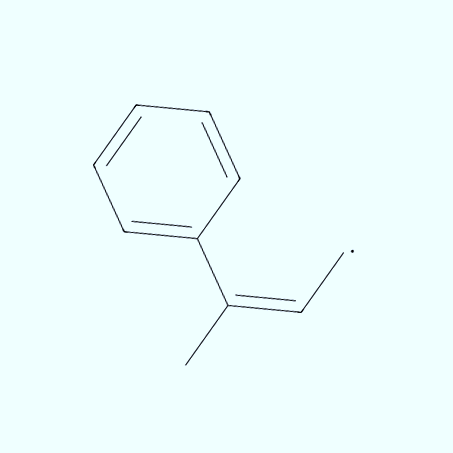 [CH2]/C=C(/C)c1ccccc1